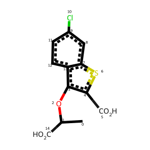 CC(Oc1c(C(=O)O)sc2cc(Cl)ccc12)C(=O)O